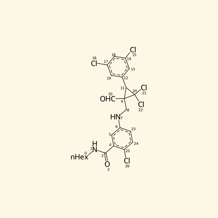 CCCCCCNC(=O)c1cc(NCC2(C=O)C(c3cc(Cl)cc(Cl)c3)C2(Cl)Cl)ccc1Cl